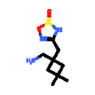 CC1(C)CC(CN)(CC2=NOS(=O)N2)C1